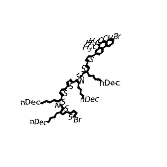 CCCCCCCCCCCCCCc1cc(-c2ccc(Br)s2)sc1-c1nc(CCCCCCCCCCCCCC)c(-c2ccc(-c3ccc(-c4sc(-c5sc(-c6ccc(-c7ccc8c(c7)C(C)(C)C(C)(C)c7cc(Br)ccc7-8)s6)cc5CCCCCCCCCCCCCC)nc4CCCCCCCCCCCCCC)s3)s2)s1